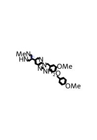 CN/C=C(\C=N)c1cnc2c(c1)nc(N)n2Cc1ccc(OCc2ccc(OC)cc2)c(OC)c1